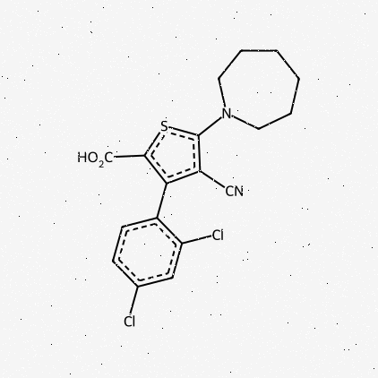 N#Cc1c(N2CCCCCC2)sc(C(=O)O)c1-c1ccc(Cl)cc1Cl